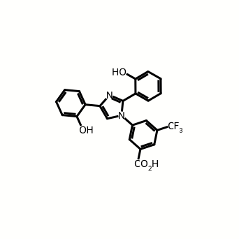 O=C(O)c1cc(-n2cc(-c3ccccc3O)nc2-c2ccccc2O)cc(C(F)(F)F)c1